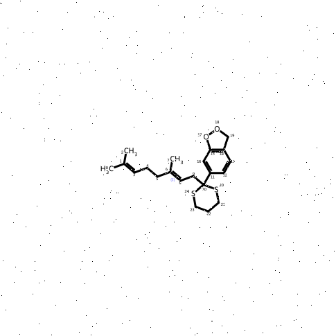 CC(C)=CCC/C(C)=C/CC1(c2ccc3c(c2)OOC3)SCCCS1